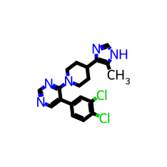 Cc1[nH]cnc1C1CCN(c2ncncc2-c2ccc(Cl)c(Cl)c2)CC1